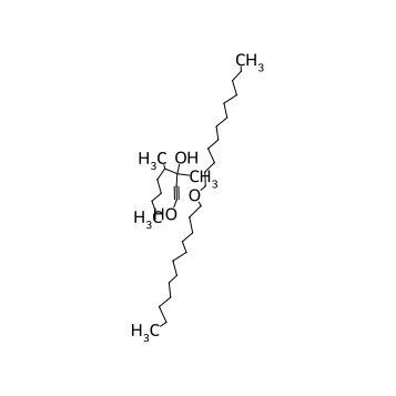 CCCCC(C)C(C)(O)C#CO.CCCCCCCCCCCCOCCCCCCCCCCCC